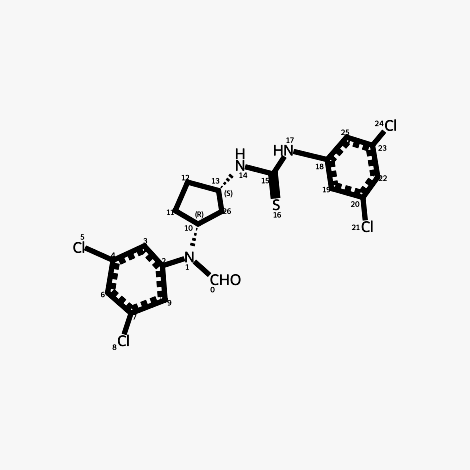 O=CN(c1cc(Cl)cc(Cl)c1)[C@@H]1CC[C@H](NC(=S)Nc2cc(Cl)cc(Cl)c2)C1